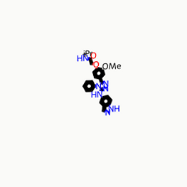 COc1cc(-c2nnc(Nc3ccc4[nH]ncc4c3)n2-c2ccccc2)ccc1OCC(=O)NC(C)C